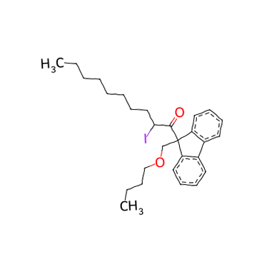 CCCCCCCCC(I)C(=O)C1(COCCCC)c2ccccc2-c2ccccc21